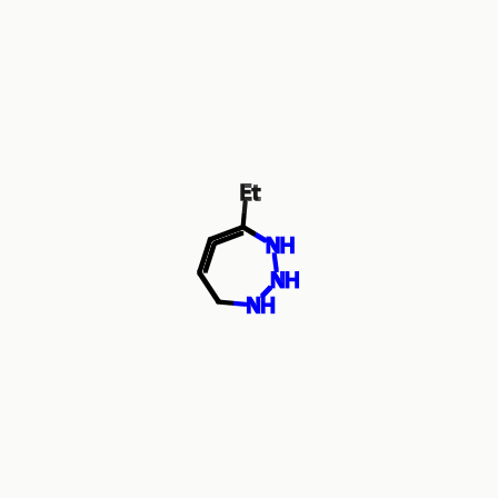 CCC1=C=CCNNN1